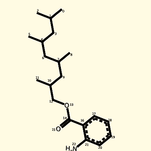 CC(C)CC(C)CC(C)CC(C)COC(=O)c1ccccc1N